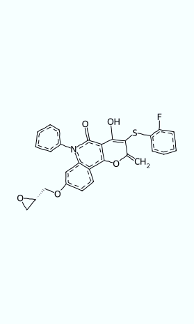 C=C1Oc2c(c(=O)n(-c3ccccc3)c3cc(OC[C@@H]4CO4)ccc23)C(O)=C1Sc1ccccc1F